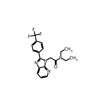 CCN(CC)C(=O)Cn1c(-c2ccc(C(F)(F)F)cc2)nc2cccnc21